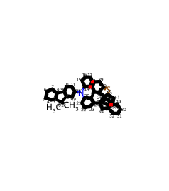 CC1(C)c2ccccc2-c2ccc(N(c3ccccc3)c3cccc(-c4ccc5ccccc5c4)c3-c3cccc4sc5ccccc5c34)cc21